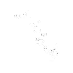 CN1CCCC(COc2ccc(Nc3nccc(N(Cc4cc(Cl)ccc4F)C(=O)O)n3)cc2F)C1